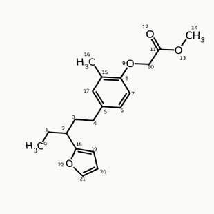 CCC(CCc1ccc(OCC(=O)OC)c(C)c1)c1ccco1